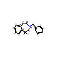 CC1(C)CN(Cc2ccccc2)CCc2ccccc21